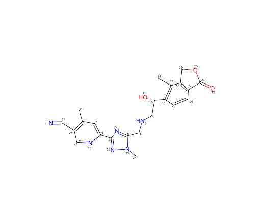 Cc1cc(-c2nc(CNC[C@H](O)c3ccc4c(c3C)COC4=O)n(C)n2)ncc1C#N